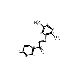 Cc1ccc(C)c(C=CC(=O)c2ccc(Cl)cc2)c1